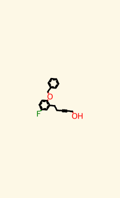 OCC#CCCc1cc(F)ccc1OCc1ccccc1